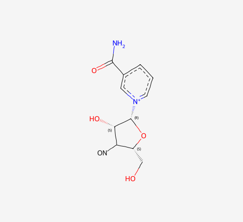 NC(=O)c1ccc[n+]([C@@H]2O[C@H](CO)C(N=O)[C@@H]2O)c1